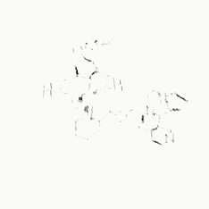 COc1cc(C)c(S(=O)(=O)N2CCCCC2COCC(=O)N2CCn3cccc3C2c2cccnc2)c(C)c1